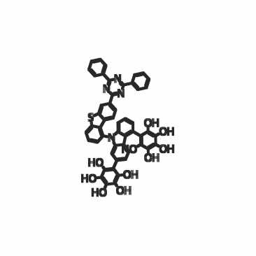 Oc1c(O)c(O)c(-c2ccc3c4c(-c5c(O)c(O)c(O)c(O)c5O)cccc4n(-c4cccc5sc6cc(-c7nc(-c8ccccc8)nc(-c8ccccc8)n7)ccc6c45)c3c2)c(O)c1O